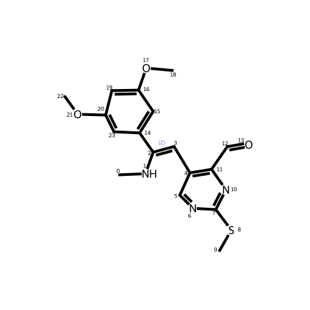 CN/C(=C\c1cnc(SC)nc1C=O)c1cc(OC)cc(OC)c1